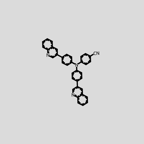 N#Cc1ccc(N(c2ccc(-c3cnc4ccccc4c3)cc2)c2ccc(-c3cnc4ccccc4c3)cc2)cc1